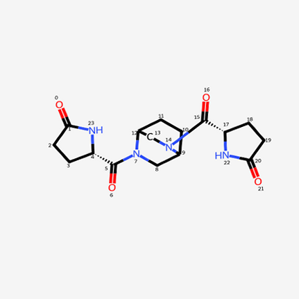 O=C1CC[C@@H](C(=O)N2CC3CCC2CN3C(=O)[C@@H]2CCC(=O)N2)N1